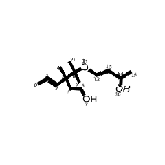 CC=CC(C)(CCO)C(C)(C)OCCC(C)O